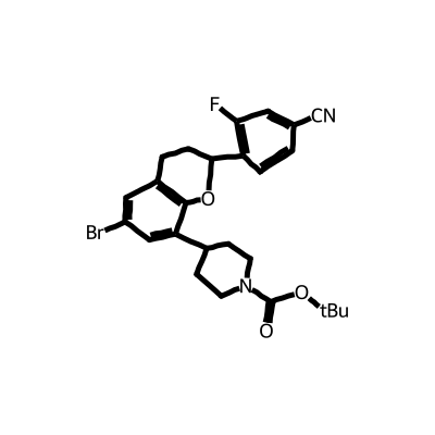 CC(C)(C)OC(=O)N1CCC(c2cc(Br)cc3c2OC(c2ccc(C#N)cc2F)CC3)CC1